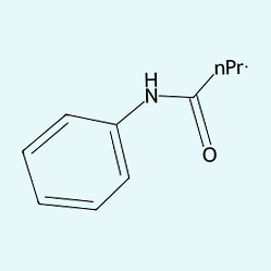 CC[CH]C(=O)Nc1ccccc1